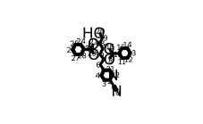 N#Cc1ccc(CC2OC(c3ccccc3)OC3C(CO)OC(c4ccccc4)OC23)cn1